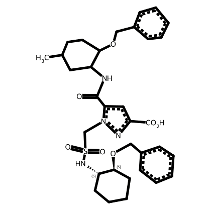 CC1CCC(OCc2ccccc2)C(NC(=O)c2cc(C(=O)O)nn2CS(=O)(=O)N[C@H]2CCCC[C@@H]2OCc2ccccc2)C1